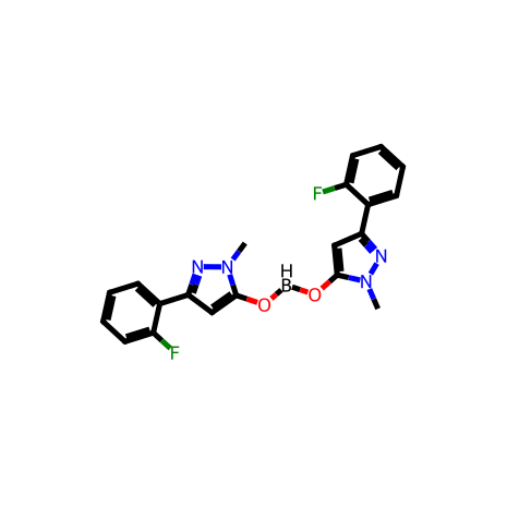 Cn1nc(-c2ccccc2F)cc1OBOc1cc(-c2ccccc2F)nn1C